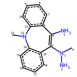 CN(N)C1=C(N)c2ccccc2N(C)c2ccccc21